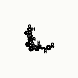 COc1nc(-c2cccc(-c3cccc(-c4ccc5c(CCNC6CCN(C(C)=O)CC6)c[nH]c5n4)c3Cl)c2Cl)ccc1CN(C[C@@H]1CCC(=O)N1)C(=O)OC(C)(C)C